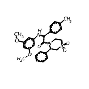 COc1cc(NC(C(=O)N2CCS(=O)(=O)CC2c2ccccc2)c2ccc(C)cc2)cc(OC)c1